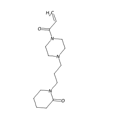 C=CC(=O)N1CCN(CCCN2CCCCC2=O)CC1